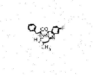 CC(C)Cc1nc2cc(F)ccc2c(=O)n1NC(=O)Cc1ccccc1